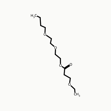 CCCCOCCOCCOC(=O)CCOCC